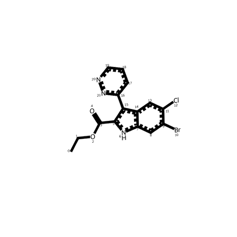 CCOC(=O)c1[nH]c2cc(Br)c(Cl)cc2c1-c1cccnn1